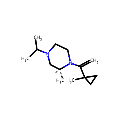 C=C(N1CCN(C(C)C)C[C@H]1C)C1(C)CC1